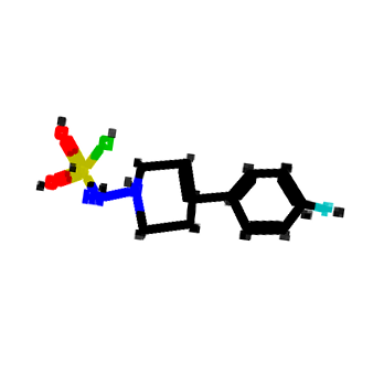 O=S(=O)(Cl)NN1CC=C(c2ccc(F)cc2)CC1